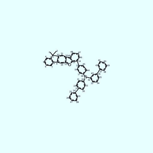 CC1(C)c2ccccc2-c2cc3oc4c(-c5ccc(N(c6ccc(-c7ccccc7)cc6)c6cccc(-c7ccccc7)c6)cc5)cccc4c3cc21